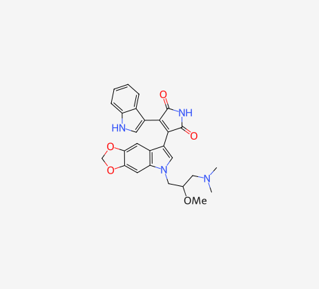 COC(CN(C)C)Cn1cc(C2=C(c3c[nH]c4ccccc34)C(=O)NC2=O)c2cc3c(cc21)OCO3